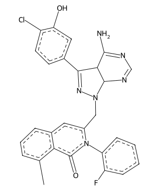 Cc1cccc2cc(CN3N=C(c4ccc(Cl)c(O)c4)C4C(N)=NC=NC43)n(-c3ccccc3F)c(=O)c12